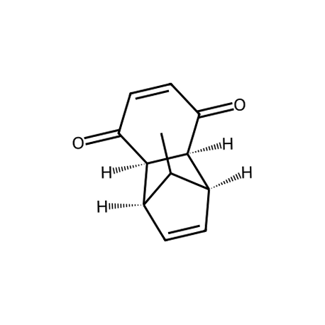 CC1[C@H]2C=C[C@@H]1[C@@H]1C(=O)C=CC(=O)[C@@H]12